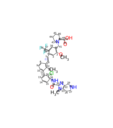 COc1cc(/C=C/c2cccc(-c3cccc(NC(=O)c4nc5c(n4C)CCNC5)c3Cl)c2C)c(C(F)(F)F)cc1CN1CCCC[C@H]1C(=O)O